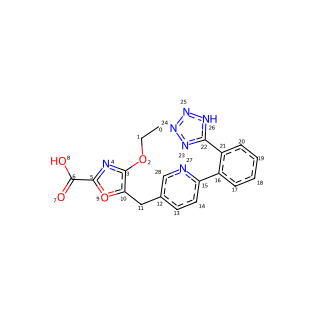 CCOc1nc(C(=O)O)oc1Cc1ccc(-c2ccccc2-c2nnn[nH]2)nc1